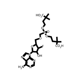 CC(C)(CCOP(=O)(COCC1OC(n2cnc3c(N)ncnc32)C(O)C1F)OCCC(C)(C)C(=O)O)C(=O)O